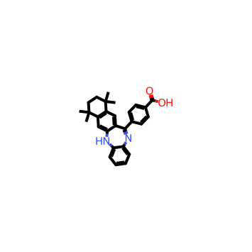 CC1(C)CCC(C)(C)c2cc3c(cc21)Nc1ccccc1N=C3c1ccc(C(=O)O)cc1